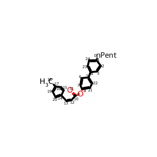 CCCCCc1ccc(-c2ccc(OC(=O)/C=C\c3ccc(C)cc3)cc2)cc1